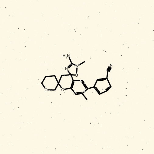 Cc1cc2c(cc1-c1cccc(C#N)c1)C1(CC3(CCCOC3)O2)N=C(N)N(C)O1